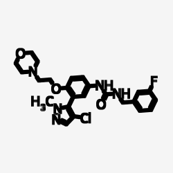 Cn1ncc(Cl)c1-c1cc(NC(=O)NCc2cccc(F)c2)ccc1OCCN1CCOCC1